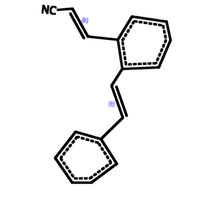 N#C/C=C/c1ccccc1/C=C/c1ccccc1